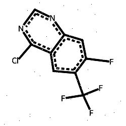 Fc1cc2ncnc(Cl)c2cc1C(F)(F)F